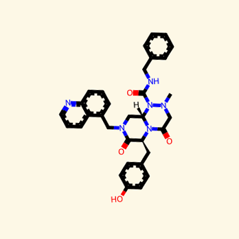 CN1CC(=O)N2[C@@H](Cc3ccc(O)cc3)C(=O)N(Cc3cccc4ncccc34)C[C@@H]2N1C(=O)NCc1ccccc1